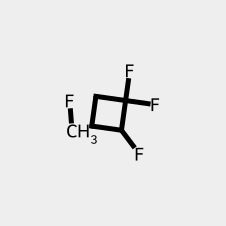 CF.FC1CCC1(F)F